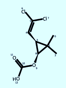 CC1(C)[C@H](C=C(Cl)Cl)[C@@H]1OC(=O)O